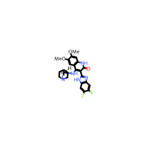 COc1cc2[nH]c(=O)c(-c3nc4cc(F)c(F)cc4[nH]3)c(N[C@H]3CN4CCC3CC4)c2cc1OC